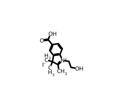 CC1=[N+](CCO)c2ccc(C(=O)O)cc2C1(C)C.[I-]